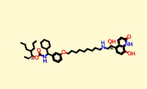 CCCC(CCC)[C@H](CC)OC(=O)NC(c1cccc(OCCCCCCCCCNC[C@H](O)c2ccc(O)c3[nH]c(=O)ccc23)c1)C1CCCCC1